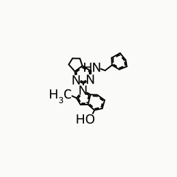 Cc1cc2c(O)cccc2n1-c1nc2c(c(NCc3ccccc3)n1)CCC2